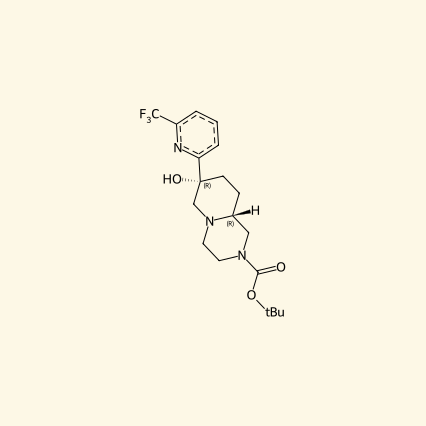 CC(C)(C)OC(=O)N1CCN2C[C@@](O)(c3cccc(C(F)(F)F)n3)CC[C@@H]2C1